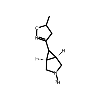 [2H]N1C[C@@H]2C(C3=NOC(C)C3)[C@@H]2C1